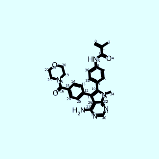 C=C(C)C(=O)Nc1ccc(-c2c(-c3ccc(C(=O)N4CCOCC4)cc3)c3c(N)ncnc3n2C)cc1